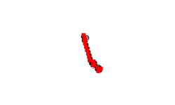 C=CC(=O)OCCCCCCCCCCCOc1ccc(C(C)(C)c2ccccc2)cc1